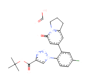 CC(C)(C)OC(=O)c1cn(-c2ccc(Cl)cc2-c2cc3n(c(=O)c2)[C@H](C(=O)O)CC3)nn1